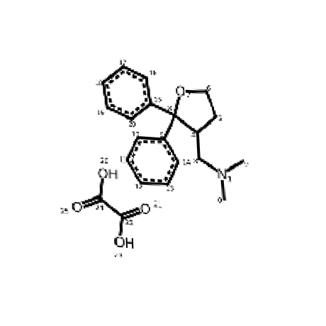 CN(C)CC1CCOC1(c1ccccc1)c1ccccc1.O=C(O)C(=O)O